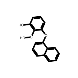 OOc1c(O)cccc1Oc1cccc2ccccc12